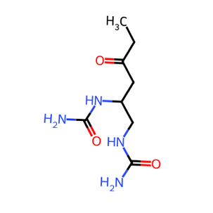 CCC(=O)CC(CNC(N)=O)NC(N)=O